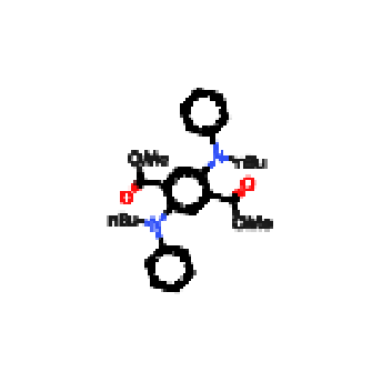 CCCCN(c1ccccc1)c1cc(C(=O)OC)c(N(CCCC)c2ccccc2)cc1C(=O)OC